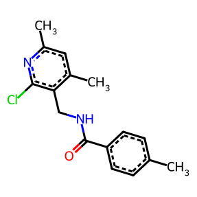 Cc1ccc(C(=O)NCc2c(C)cc(C)nc2Cl)cc1